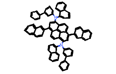 c1ccc(-c2cccc(N(c3cccc4ccccc34)c3cc(-c4ccc5ccccc5c4)c4ccc5c(N(c6cccc(-c7ccccc7)c6)c6cccc7ccccc67)cc(-c6ccc7ccccc7c6)c6ccc3c4c65)c2)cc1